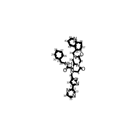 O=C1CN2C(=O)CN(Cc3cc(-c4cnccn4)no3)N(C(=O)NCc3ccccc3)C2CN1Cc1cccc2ncccc12